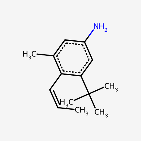 C/C=C\c1c(C)cc(N)cc1C(C)(C)C